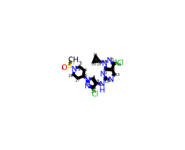 C[S+]([O-])N1CCC(n2cc(Nc3ncc4c(Cl)nn(C5CC5)c4n3)c(Cl)n2)CC1